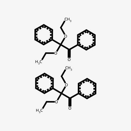 CCOC(OCC)(C(=O)c1ccccc1)c1ccccc1.CCOC(OCC)(C(=O)c1ccccc1)c1ccccc1